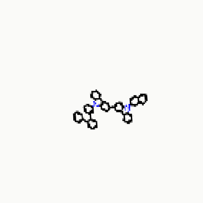 C1=CC2c3cc(-c4ccc5c(c4)c4ccccc4n5-c4ccc5ccccc5c4)ccc3N(c3cccc(-c4ccccc4-c4ccccc4)c3)C2C=C1